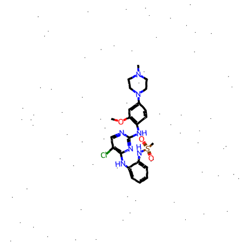 COc1cc(N2CCN(C)CC2)ccc1Nc1ncc(Cl)c(Nc2ccccc2NS(C)(=O)=O)n1